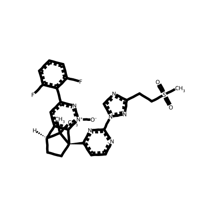 CC1(C)[C@H]2CC[C@@]1(c1ccnc(-n3cnc(CCS(C)(=O)=O)n3)n1)c1c2cc(-c2c(F)cccc2F)n[n+]1[O-]